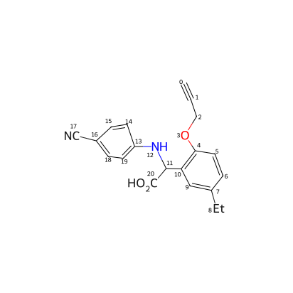 C#CCOc1ccc(CC)cc1C(Nc1ccc(C#N)cc1)C(=O)O